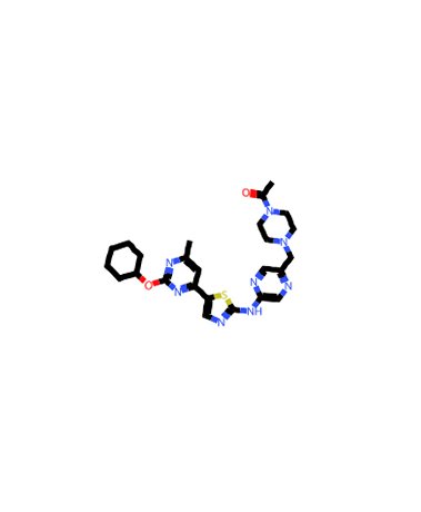 CC(=O)N1CCN(Cc2cnc(Nc3ncc(-c4cc(C)nc(OC5CCCCC5)n4)s3)cn2)CC1